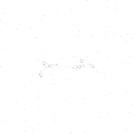 COc1ccc([C@@H]2[C@@H](CC[C@H](O)c3ccc(F)cc3)C(=O)N2c2ccc(CNC(=O)CCCCCCCCCCC(=O)OC(N)c3ccc(N4C(=O)[C@H](CC[C@H](O)c5ccc(F)cc5)[C@H]4c4ccc(OC)cc4)cc3)cc2)cc1